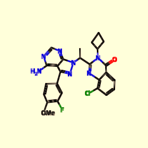 COc1ccc(-c2nn(C(C)c3nc4c(Cl)cccc4c(=O)n3C3CCC3)c3ncnc(N)c23)cc1F